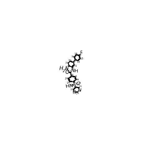 N=S(=O)(c1ccc(C(=O)NC2=CC(c3ccc(F)cc3)=CCC2N)cc1)c1cncnc1